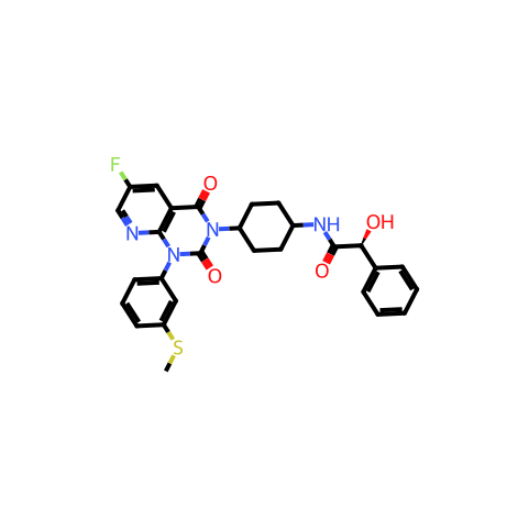 CSc1cccc(-n2c(=O)n(C3CCC(NC(=O)[C@@H](O)c4ccccc4)CC3)c(=O)c3cc(F)cnc32)c1